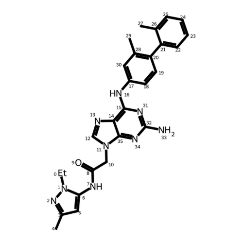 CCn1nc(C)cc1NC(=O)Cn1cnc2c(Nc3ccc(-c4ccccc4C)c(C)c3)nc(N)nc21